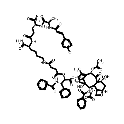 CC(=O)O[C@@H]1C(=O)[C@@]2(C)[C@H]([C@H](OC(=O)c3ccccc3)[C@]3(O)C[C@H](OC(=O)[C@H](OC(=O)CCC(=O)NCCCCC(NC(=O)CC[C@H](NC(=O)C(C)NC(=O)/C=C/c4ccc(Cl)cc4)C(N)=O)C(N)=O)[C@@H](NC(=O)c4ccccc4)c4ccccc4)C(C)=C1C3(C)C)[C@]1(OC(C)=O)CO[C@@H]1C[C@@H]2O